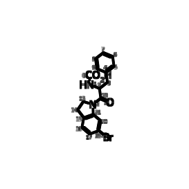 O=C(O)NC(Cc1ccccc1)C(=O)N1CCc2ccc(Br)cc21